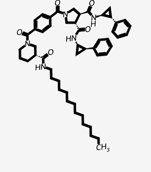 CCCCCCCCCCCCCCNC(=O)[C@@H]1CCCN(C(=O)c2ccc(C(=O)N3C[C@@H](C(=O)N[C@H]4C[C@@H]4c4ccccc4)[C@H](C(=O)N[C@H]4C[C@@H]4c4ccccc4)C3)cc2)C1